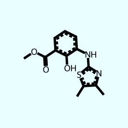 COC(=O)c1cccc(Nc2nc(C)c(C)s2)c1O